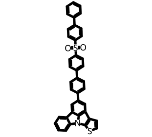 O=S(=O)(c1ccc(-c2ccccc2)cc1)c1ccc(-c2ccc(-c3cc4c5ccccc5n5c6sccc6c(c3)c45)cc2)cc1